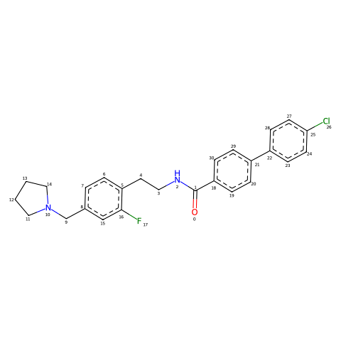 O=C(NCCc1ccc(CN2CCCC2)cc1F)c1ccc(-c2ccc(Cl)cc2)cc1